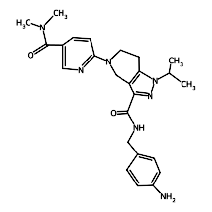 CC(C)n1nc(C(=O)NCc2ccc(N)cc2)c2c1CCN(c1ccc(C(=O)N(C)C)cn1)C2